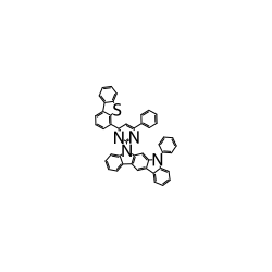 c1ccc(-c2cc(-c3cccc4c3sc3ccccc34)nc(-n3c4ccccc4c4cc5c6ccccc6n(-c6ccccc6)c5cc43)n2)cc1